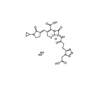 O=C(O)Cn1nnnc1SCC(=O)N[C@@H]1C(=O)N2C(C(=O)O)=C(C=C3CCN(C4CC4)C3=O)CS[C@H]12.[Na].[Na]